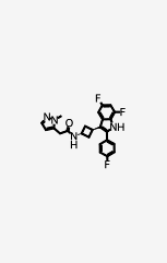 Cn1nccc1CC(=O)N[C@H]1C[C@H](c2c(-c3ccc(F)cc3)[nH]c3c(F)cc(F)cc32)C1